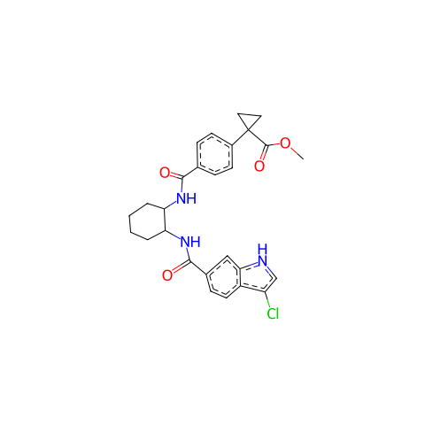 COC(=O)C1(c2ccc(C(=O)NC3CCCCC3NC(=O)c3ccc4c(Cl)c[nH]c4c3)cc2)CC1